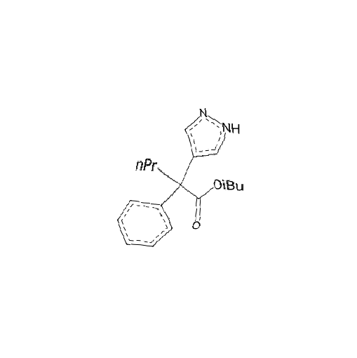 CCCC(C(=O)OCC(C)C)(c1ccccc1)c1cn[nH]c1